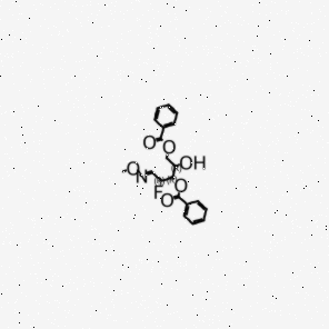 CON=C[C@@H](F)[C@H](OC(=O)c1ccccc1)[C@H](O)COC(=O)c1ccccc1